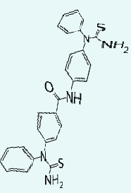 NC(=S)N(c1ccccc1)c1ccc(NC(=O)c2ccc(N(C(N)=S)c3ccccc3)cc2)cc1